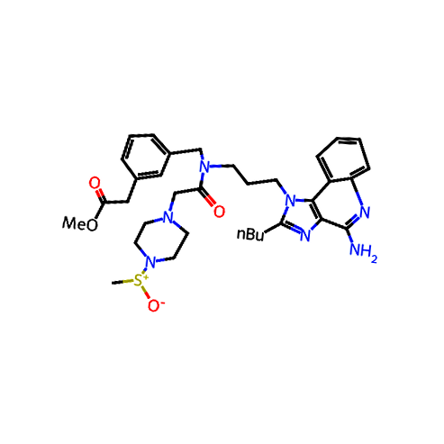 CCCCc1nc2c(N)nc3ccccc3c2n1CCCN(Cc1cccc(CC(=O)OC)c1)C(=O)CN1CCN([S+](C)[O-])CC1